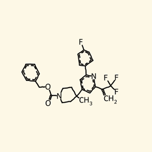 C=C(c1cc(C2(C)CCN(C(=O)OCc3ccccc3)CC2)cc(-c2ccc(F)cc2)n1)C(F)(F)F